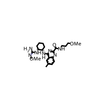 COCCCNC(=O)c1nc(N[C@H]2CCCC[C@H]2N/C(N)=N\OC)c2cc(C)ccc2n1